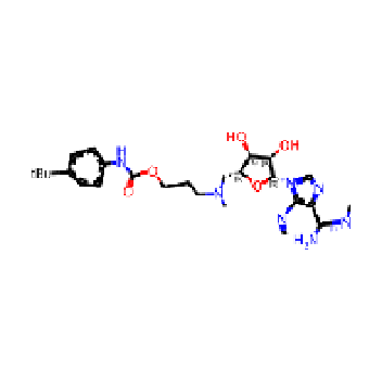 C=Nc1c(/C(N)=N\C)ncn1[C@@H]1O[C@H](CN(C)CCCOC(=O)Nc2ccc(C(C)(C)C)cc2)[C@@H](O)[C@H]1O